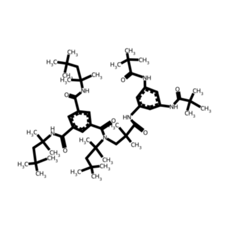 CC(C)(C)CC(C)(C)NC(=O)c1cc(C(=O)NC(C)(C)CC(C)(C)C)cc(C(=O)N(CC(C)(C)C(=O)Nc2cc(NC(=O)C(C)(C)C)cc(NC(=O)C(C)(C)C)c2)C(C)(C)CC(C)(C)C)c1